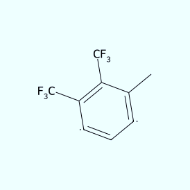 Cc1[c]c[c]c(C(F)(F)F)c1C(F)(F)F